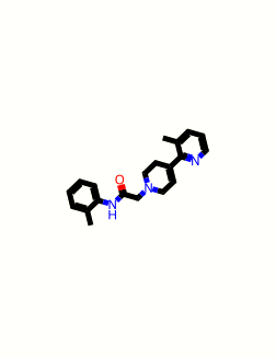 Cc1ccccc1NC(=O)CN1CC=C(c2ncccc2C)CC1